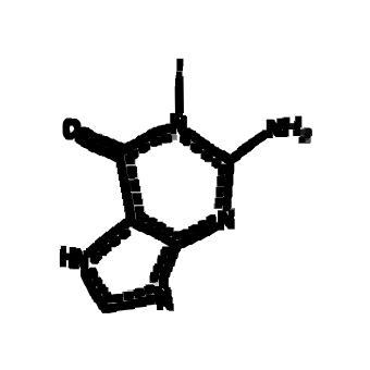 Nc1nc2nc[nH]c2c(=O)n1I